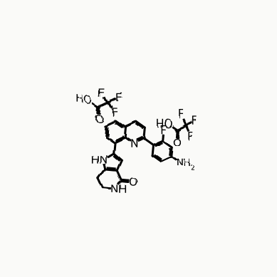 Nc1ccc(-c2ccc3cccc(-c4cc5c([nH]4)CCNC5=O)c3n2)c(F)c1.O=C(O)C(F)(F)F.O=C(O)C(F)(F)F